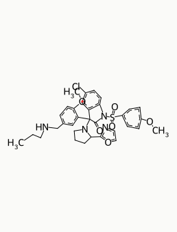 CCCNCc1ccc(OC)c(C2(N3CCCC3c3ncco3)C(=O)N(S(=O)(=O)c3ccc(OC)cc3)c3ccc(Cl)cc32)c1